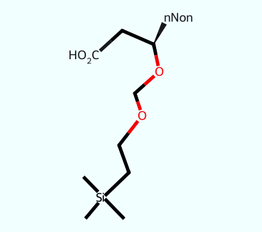 CCCCCCCCC[C@H](CC(=O)O)OCOCC[Si](C)(C)C